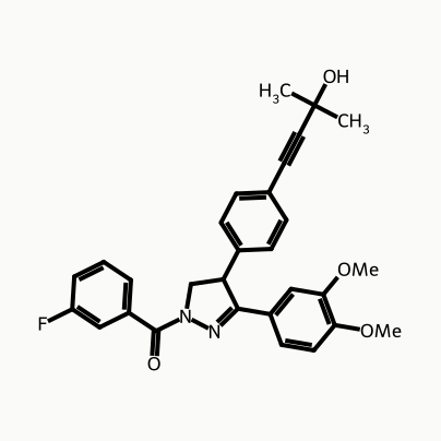 COc1ccc(C2=NN(C(=O)c3cccc(F)c3)CC2c2ccc(C#CC(C)(C)O)cc2)cc1OC